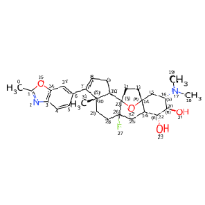 Cc1nc2ccc(C3=CCC4[C@@]56CC[C@]7(C[C@H](N(C)C)[C@@H](O)[C@H](O)C7CC5(F)CC[C@]34C)O6)cc2o1